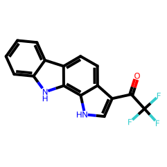 O=C(c1c[nH]c2c1ccc1c3ccccc3[nH]c12)C(F)(F)F